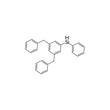 c1ccc(Cc2cc(Cc3ccccc3)cc([SiH]c3ccccc3)c2)cc1